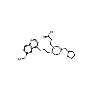 COc1ccc2nccc(CCC[C@@H]3CCN(CC4CCCC4)C[C@@H]3CCC(=O)O)c2c1